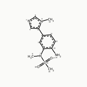 CN(c1cc(-c2cncn2C)ccc1N)S(C)(=O)=O